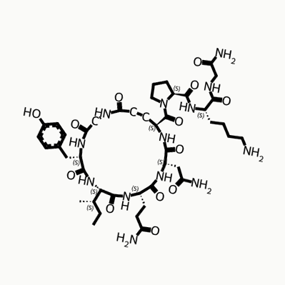 CC[C@H](C)[C@@H]1NC(=O)[C@H](Cc2ccc(O)cc2)NC(=O)CNC(=O)CC[C@@H](C(=O)N2CCC[C@H]2C(=O)N[C@@H](CCCCN)C(=O)NCC(N)=O)NC(=O)[C@H](CC(N)=O)NC(=O)[C@H](CCC(N)=O)NC1=O